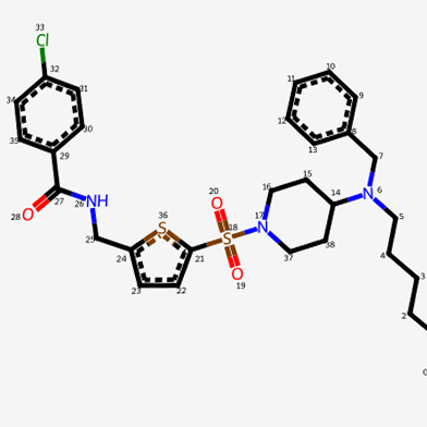 CCCCCCN(Cc1ccccc1)C1CCN(S(=O)(=O)c2ccc(CNC(=O)c3ccc(Cl)cc3)s2)CC1